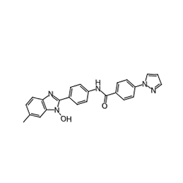 Cc1ccc2nc(-c3ccc(NC(=O)c4ccc(-n5cccn5)cc4)cc3)n(O)c2c1